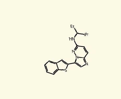 CCC(Nc1ccc2ncc(-c3cc4ccccc4s3)n2n1)C(C)C